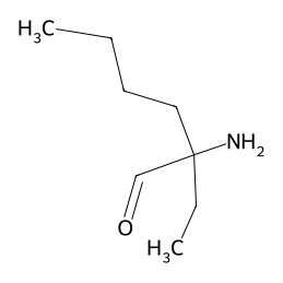 CCCCC(N)(C=O)CC